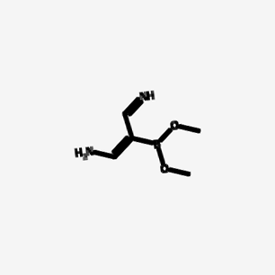 COB(OC)/C(C=N)=C/N